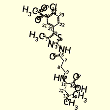 Cc1nc(NC(=O)CCCN[C@@H](CC(C)C)C(=O)O)sc1-c1ccc(Cl)c(S(C)(=O)=O)c1